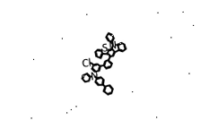 Clc1cc(-c2cccc(-c3cc4c5ccccc5n(-c5ccccc5)c4c4sc5ccccc5c34)c2)cc(N(C2=CC=CCC2)c2ccc(-c3ccccc3)cc2)c1